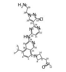 CC(C)c1ccc(N2CC(C[S+](C)[O-])C2)c2cnc(Nc3ccnc(-c4cn(CCN)nc4Cl)n3)cc12